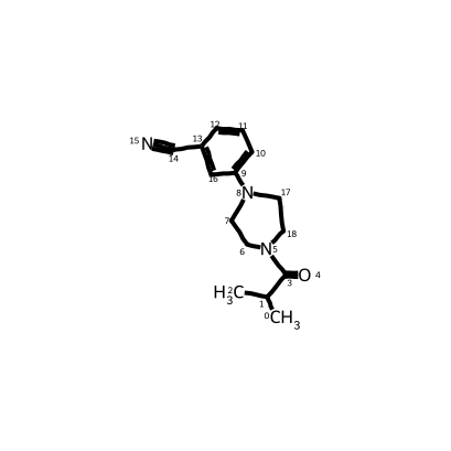 CC(C)C(=O)N1CCN(c2cccc(C#N)c2)CC1